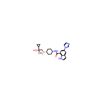 CC(O)(CO[C@H]1CC[C@H](NC(=O)c2cc(-n3ccnc3)cc3cc[nH]c23)CC1)C1CC1